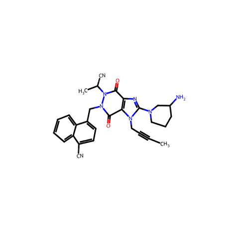 CC#CCn1c(N2CCCC(N)C2)nc2c(=O)n(C(C)C#N)n(Cc3ccc(C#N)c4ccccc34)c(=O)c21